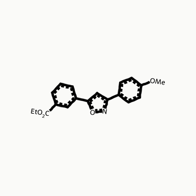 CCOC(=O)c1cccc(-c2cc(-c3ccc(OC)cc3)no2)c1